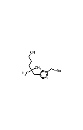 CC(C)(C)Cc1cc(CC(C)(C)CCCC#N)cs1